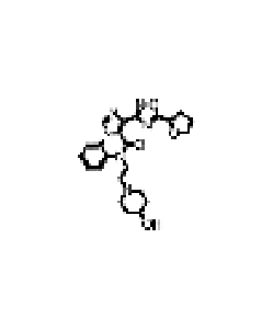 O=c1c2c(-c3noc(C4CCCO4)n3)ncn2c2ccccc2n1CCN1CCC(O)CC1